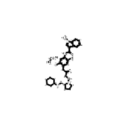 Cn1cc(C(=O)Nc2cc(Cl)c(CC(=O)CON3CCC[C@H]3COC3CCCCC3)cc2Cl)c2ccccc21.O=C(O)O